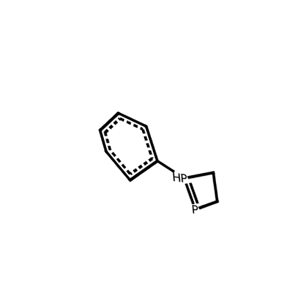 c1ccc([PH]2=PCC2)cc1